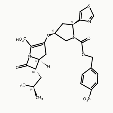 C[C@@H](O)C[C@@H]1C(=O)N2C(C(=O)O)=C(S[C@H]3C[C@@H](c4cscn4)N(C(=O)OCc4ccc([N+](=O)[O-])cc4)C3)C[C@@H]12